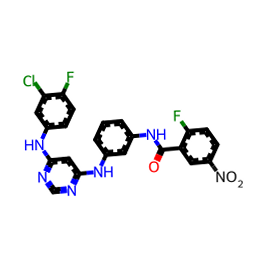 O=C(Nc1cccc(Nc2cc(Nc3ccc(F)c(Cl)c3)ncn2)c1)c1cc([N+](=O)[O-])ccc1F